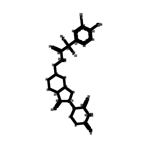 O=C1CCC(N2CC3CC(CNC(=O)C(F)(F)c4ccc(Cl)c(F)c4)CCC3C2=O)C(=O)N1